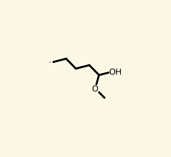 [CH2]CCCC(O)OC